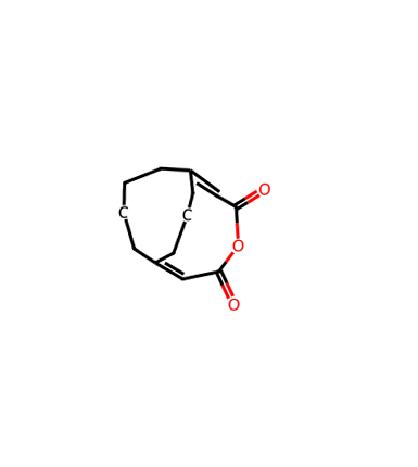 O=C1/C=C2\CCCC/C(=C\C(=O)O1)CCC2